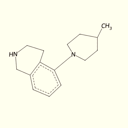 CC1CCN(c2cccc3c2CCNC3)CC1